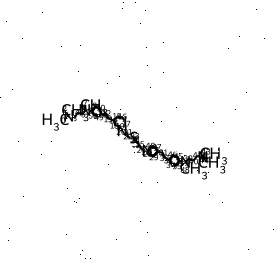 CN(C)CCCN(C)c1ccc(/C=C/C(/C=C\I)=C/C=N/CCSSCC[n+]2ccc(/C=C/c3ccc(N(C)CCCN(C)C)cc3)cc2)cc1